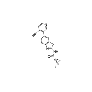 N#Cc1ccncc1-c1ccc2nc(NC(=O)[C@@H]3C[C@@H]3F)sc2c1